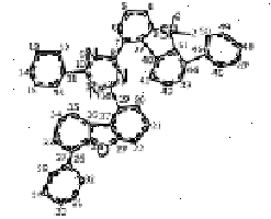 C[Si]1(C)c2cccc(-c3nc(-c4ccccc4)nc(-c4cccc5oc6c(-c7ccccc7)cccc6c45)n3)c2-c2cccc(-c3ccccc3)c21